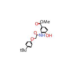 COC(=O)c1ccc(O)c(NC(=O)COc2ccc(C(C)(C)C)cc2)c1